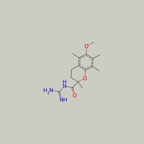 COc1c(C)c(C)c2c(c1C)CCC(C)(C(=O)NC(=N)N)O2